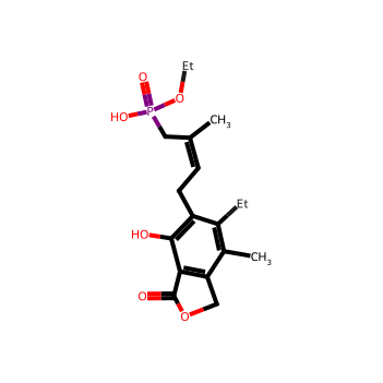 CCOP(=O)(O)CC(C)=CCc1c(O)c2c(c(C)c1CC)COC2=O